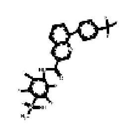 CS(=N)(=O)c1c(F)c(F)c(NC(=O)c2cnc3c(-c4ccc(C(F)(F)F)cc4)cccc3c2)c(F)c1F